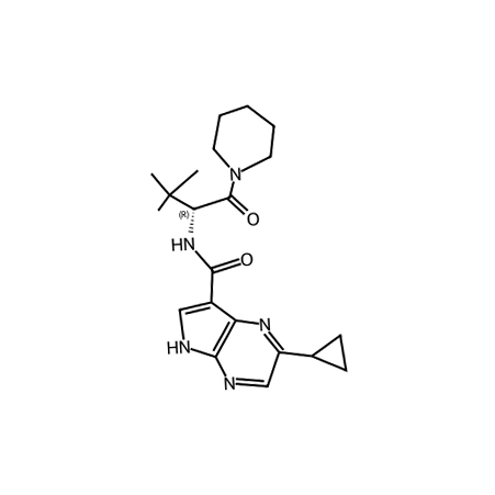 CC(C)(C)[C@@H](NC(=O)c1c[nH]c2ncc(C3CC3)nc12)C(=O)N1CCCCC1